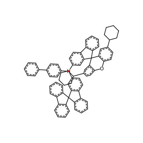 c1ccc(-c2ccc(N(c3ccc4c(c3)C3(c5cc(C6CCCCC6)ccc5Oc5ccc(C6CCCCC6)cc53)c3ccccc3-4)c3ccc4c(c3)C3(c5ccccc5-c5ccccc53)c3ccccc3-4)cc2)cc1